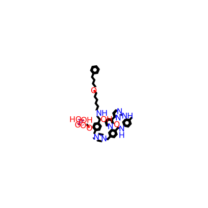 Cc1ccc(NC(=O)c2ccc(CN3CC[N+](C)(Cc4ccc(C(O)CNCCCCCCOCCCCc5ccccc5)cc4OCOP(=O)(O)O)CC3)cc2)cc1Nc1nccc(-c2cccnc2)n1